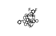 C[C@H]1CC[C@@]2(CNC(=O)C2)[C@H]2CN1C(=O)c1c(OCc3ccccc3)c(=O)c(C(=O)NCc3c(F)cc(F)cc3F)cn12